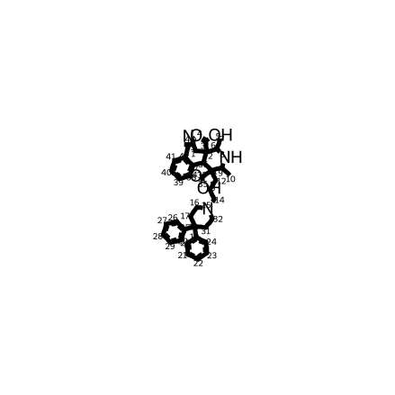 CCC1(C(=O)O)C(C)NC(C)C(CCCN2CCC(c3ccccc3)(c3ccccc3)CC2)(C(=O)O)C1c1ccccc1C#N